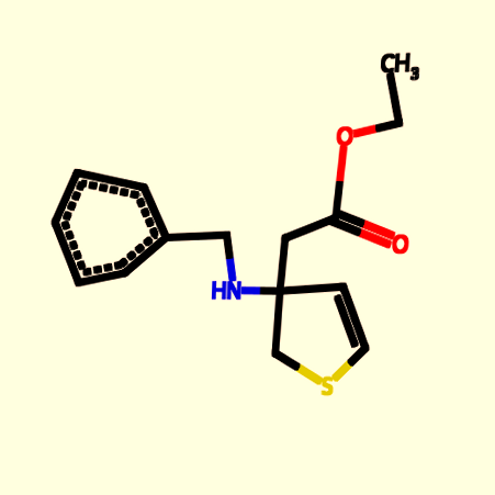 CCOC(=O)CC1(NCc2ccccc2)C=CSC1